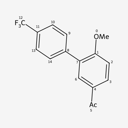 COc1ccc(C(C)=O)cc1-c1ccc(C(F)(F)F)cc1